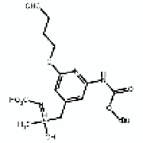 CC(C)(C)OC(=O)Nc1cc(C[SH](C)(O)=NC(=O)O)cc(OCCCC=O)n1